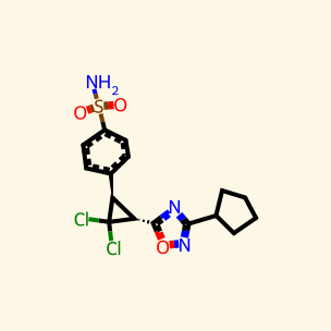 NS(=O)(=O)c1ccc([C@H]2[C@H](c3nc(C4CCCC4)no3)C2(Cl)Cl)cc1